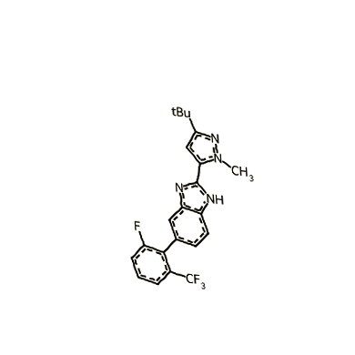 Cn1nc(C(C)(C)C)cc1-c1nc2cc(-c3c(F)cccc3C(F)(F)F)ccc2[nH]1